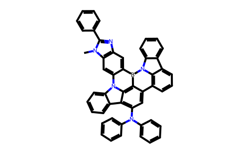 Cn1c(-c2ccccc2)nc2cc3c(cc21)-n1c2ccccc2c2c(N(c4ccccc4)c4ccccc4)cc4c(c21)B3n1c2ccccc2c2cccc-4c21